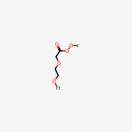 CCOCCOCC(=O)OOF